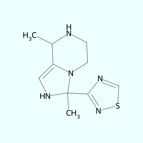 CC1NCCN2C1=CNC2(C)c1ncsn1